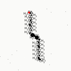 C=C(C)C(=O)OC(C)OC(C)OC(C)OC(C)OC(C)OC(C)OC(C)OC(C)OC(C)OC(C)Oc1ccc(C(C)(C)c2ccc(OC(C)OC(C)OC(C)OC(C)OC(C)OC(C)OC(C)OC(C)OC(C)OC(C)OC(=O)C(=C)C)cc2)cc1